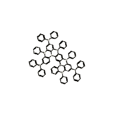 c1ccc(N(c2ccccc2)c2ccc3c(c2)N(c2ccccc2)c2cc(N(c4ccccc4)c4ccccc4)cc4c2B3c2cc3c(cc2N4c2ccccc2)N(c2ccccc2)c2cc(N(c4ccccc4)c4ccccc4)cc4c2B3c2ccccc2N4c2ccccc2)cc1